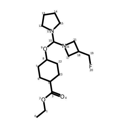 CCOC(=O)C1CCC(OC(N2CCCC2)N2CC(CF)C2)CC1